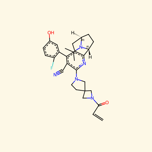 C=CC(=O)N1CC2(CCN(c3nc4c(c(-c5cc(O)ccc5F)c3C#N)C[C@H]3CC[C@H]4N3C(C)C)C2)C1